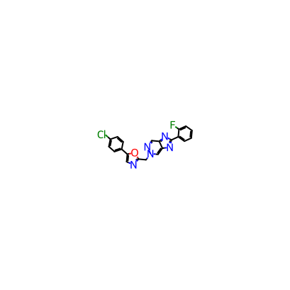 Fc1ccccc1-c1nc2cnn(Cc3ncc(-c4ccc(Cl)cc4)o3)cc-2n1